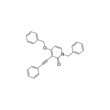 O=c1c(C#Cc2ccccc2)c(OCc2ccccc2)ccn1Cc1ccccc1